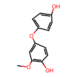 COc1cc(Oc2ccc(O)cc2)ccc1O